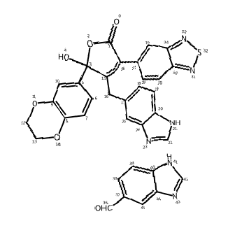 O=C1OC(O)(c2ccc3c(c2)OCCO3)C(Cc2ccc3[nH]cnc3c2)=C1c1ccc2nsnc2c1.O=Cc1ccc2[nH]cnc2c1